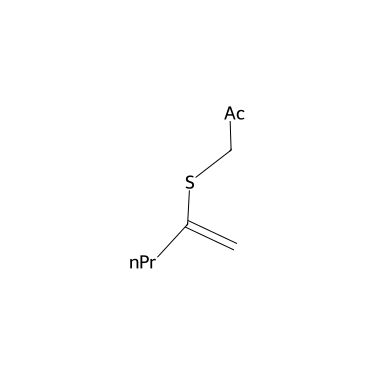 C=C(CCC)SCC(C)=O